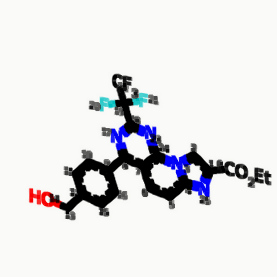 CCOC(=O)c1cn2c(ccc3c(-c4ccc(CO)cc4)nc(C(F)(F)C(F)(F)F)nc32)n1